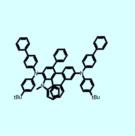 Cn1c2ccccc2c2c(-c3ccc(N(c4ccc(-c5ccccc5)cc4)c4ccc(C(C)(C)C)cc4)cc3-c3ccccc3)c(-c3ccccc3)cc(N(c3ccc(-c4ccccc4)cc3)c3ccc(C(C)(C)C)cc3)c21